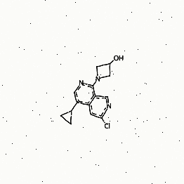 OC1CN(c2ncc(C3CC3)c3cc(Cl)ncc23)C1